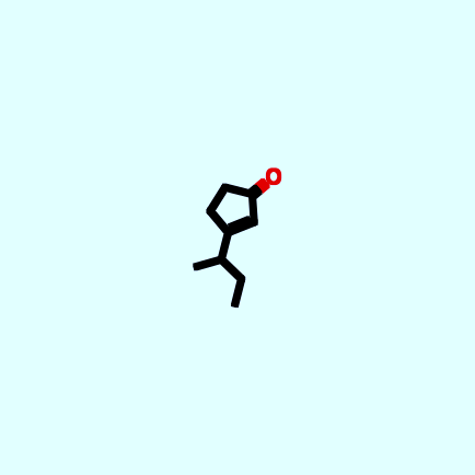 CCC(C)C1=CC(=O)CC1